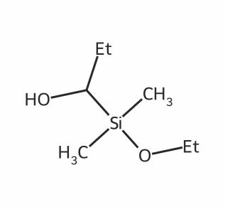 CCO[Si](C)(C)C(O)CC